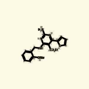 CCOC(=O)c1c(NCc2ccccc2OC)nc(N)nc1-c1ccco1